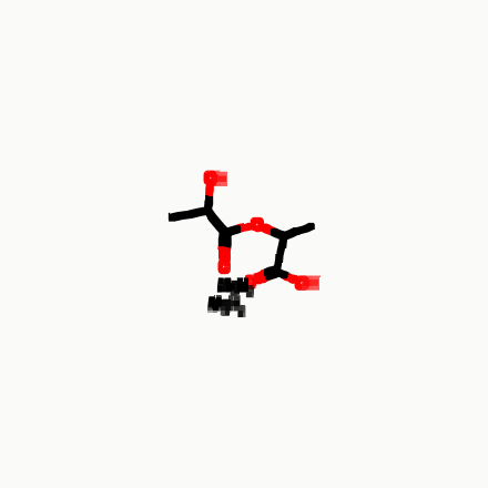 CC(O)C(=O)OC(C)C(=O)O.[MgH2].[MgH2]